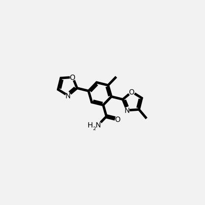 Cc1coc(-c2c(C)cc(-c3ncco3)cc2C(N)=O)n1